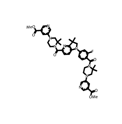 COC(=O)c1cncc(N2CCN(C(=O)c3ccc4c(n3)C(C)(C)CN4c3ccc(C(=O)N4CCN(c5cncc(C(=O)OC)c5)CC4(C)C)c(F)c3)C(C)(C)C2)c1